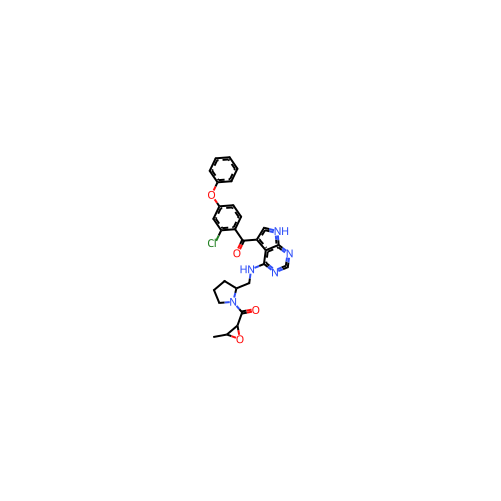 CC1OC1C(=O)N1CCCC1CNc1ncnc2[nH]cc(C(=O)c3ccc(Oc4ccccc4)cc3Cl)c12